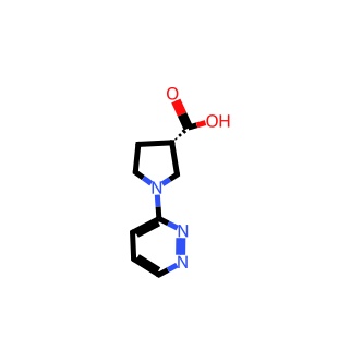 O=C(O)[C@H]1CCN(c2cccnn2)C1